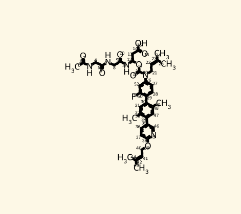 CC(=O)NCC(=O)NCC(=O)NC(CC(=O)O)OC(=O)N(CC=C(C)C)c1ccc(-c2cc(C)c(-c3ccc(OCC=C(C)C)nc3)cc2C)c(F)c1